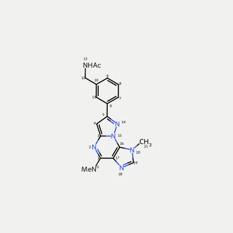 CNc1nc2cc(-c3cccc(CNC(C)=O)c3)nn2c2c1ncn2C